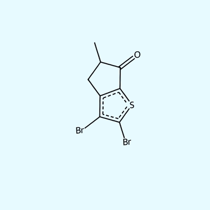 CC1Cc2c(sc(Br)c2Br)C1=O